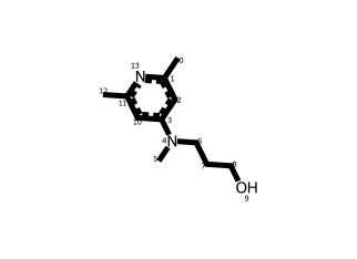 Cc1cc(N(C)CCCO)cc(C)n1